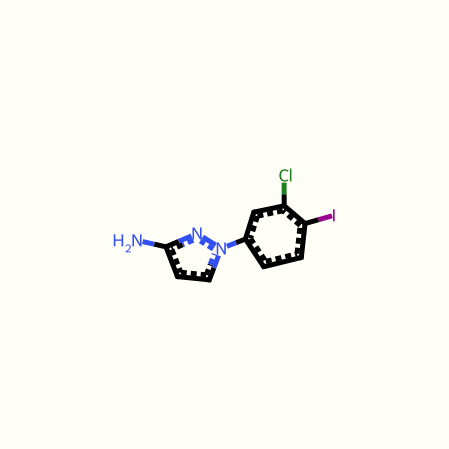 Nc1ccn(-c2ccc(I)c(Cl)c2)n1